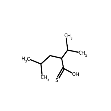 CC(C)CC(C(O)=S)C(C)C